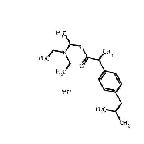 CCN(CC)C(C)OC(=O)C(C)c1ccc(CC(C)C)cc1.Cl